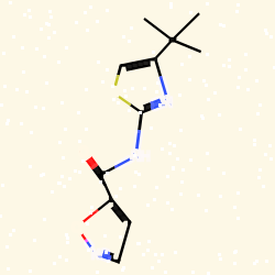 CC(C)(C)c1csc(NC(=O)c2ccno2)n1